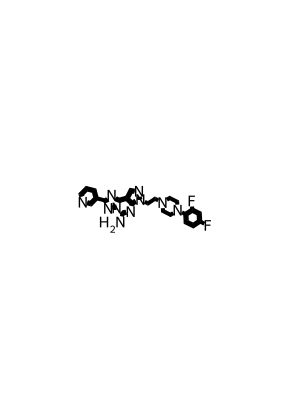 Nc1nc2c(cnn2CCN2CCN(c3ccc(F)cc3F)CC2)c2nc(-c3cccnc3)nn12